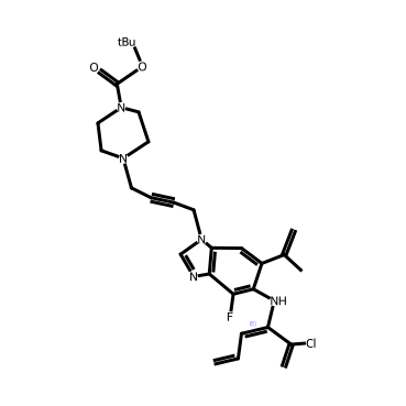 C=C/C=C(/Nc1c(C(=C)C)cc2c(ncn2CC#CCN2CCN(C(=O)OC(C)(C)C)CC2)c1F)C(=C)Cl